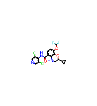 O=C(Nc1c(Cl)cncc1Cl)c1ccc(OC(F)F)c2c1NCC(C1CC1)O2